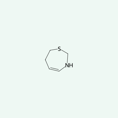 C1=CNCSCC1